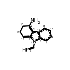 NC1=c2c(n(C=P)c3ccccc23)=CCC1